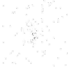 COC(=O)C(Cc1ccccc1)N1CCCCC(NC(=O)OC(C)(C)C)C1=O